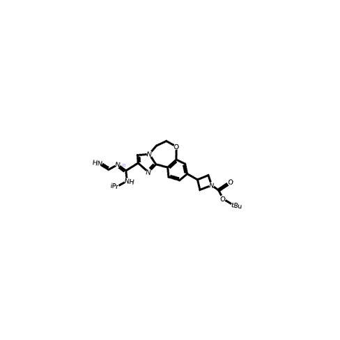 CC(C)N/C(=N\C=N)c1cn2c(n1)-c1ccc(C3CN(C(=O)OC(C)(C)C)C3)cc1OCC2